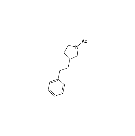 [CH2]C(=O)N1CCC(CCc2ccccc2)C1